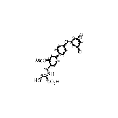 COc1cc(-c2ccc(Oc3cc(Cl)cc(Cl)c3)cc2)ccc1CNC(CO)C(=O)O